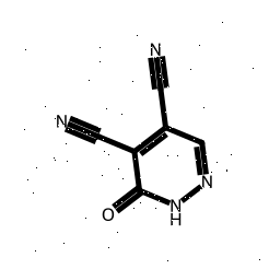 N#Cc1cn[nH]c(=O)c1C#N